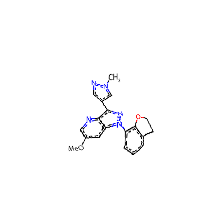 COc1cnc2c(-c3cnn(C)c3)nn(-c3cccc4c3OCC4)c2c1